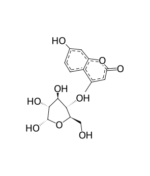 Cc1cc(=O)oc2cc(O)ccc12.OC[C@H]1O[C@H](O)[C@H](O)[C@@H](O)[C@@H]1O